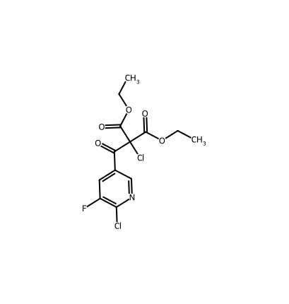 CCOC(=O)C(Cl)(C(=O)OCC)C(=O)c1cnc(Cl)c(F)c1